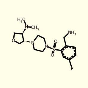 CN(C)[C@@H]1COC[C@H]1N1CCN(S(=O)(=O)c2cc(F)ccc2CN)CC1